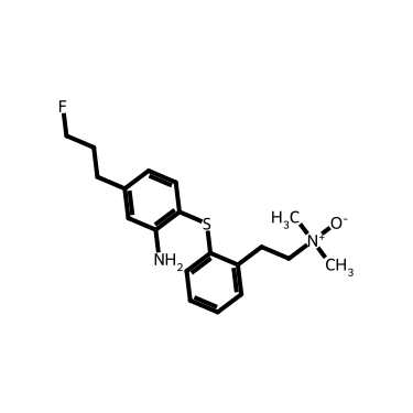 C[N+](C)([O-])CCc1ccccc1Sc1ccc(CCCF)cc1N